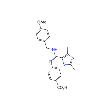 COc1ccc(CNc2nc3ccc(C(=O)O)cc3n3c(C)nc(C)c23)cc1